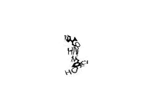 CN(C)[C@H](CNC(=O)CC(c1ccncc1)C1CC1)Cc1ccc(O)c(F)c1Cl